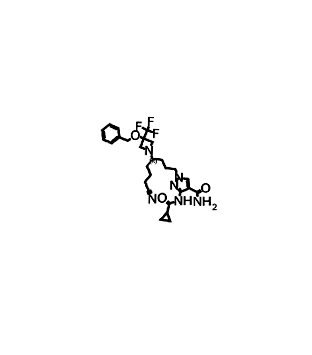 N#CCCC[C@H](CCCn1cc(C(N)=O)c(NC(=O)C2CC2)n1)N1CC(OCc2ccccc2)(C(F)(F)F)C1